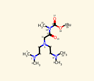 CN(C)CCN(CCN(C)C)CC(=O)N(C)C(=O)OC(C)(C)C